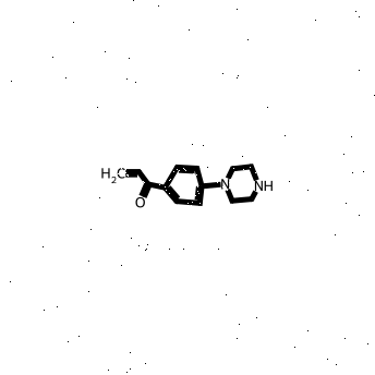 C=CC(=O)c1ccc(N2CCNCC2)cc1